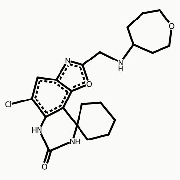 O=C1Nc2c(Cl)cc3nc(CNC4CCCOCC4)oc3c2C2(CCCCC2)N1